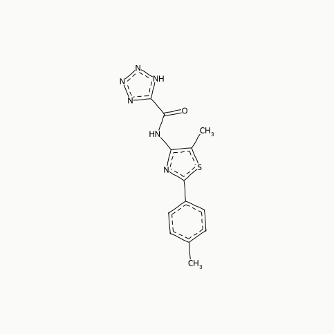 Cc1ccc(-c2nc(NC(=O)c3nnn[nH]3)c(C)s2)cc1